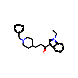 CCn1cc(C(=O)CCC2CCN(Cc3ccccc3)CC2)c2ccccc21